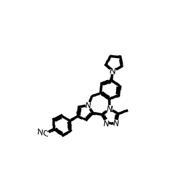 Cc1nnc2n1-c1ccc(N3CCCC3)cc1Cn1cc(-c3ccc(C#N)cc3)cc1-2